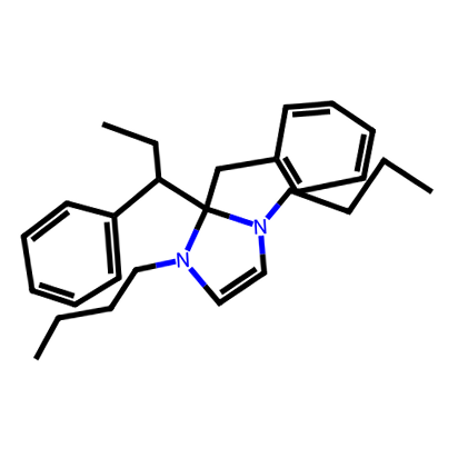 CCCCN1C=CN(CCCC)C1(Cc1ccccc1)C(CC)c1ccccc1